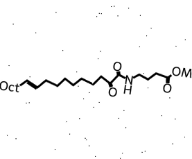 CCCCCCCCC=CCCCCCCCC(=O)C(=O)NCCCC(=O)OC